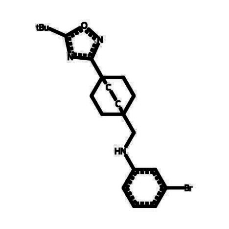 CC(C)(C)c1nc(C23CCC(CNc4cccc(Br)c4)(CC2)CC3)no1